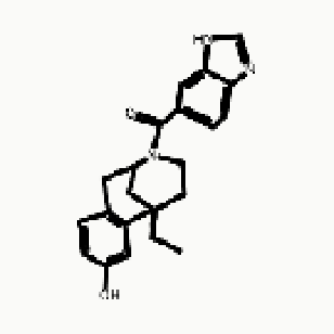 CCC12CCN(C(=O)c3ccc4nc[nH]c4c3)C(Cc3ccc(O)cc31)C2